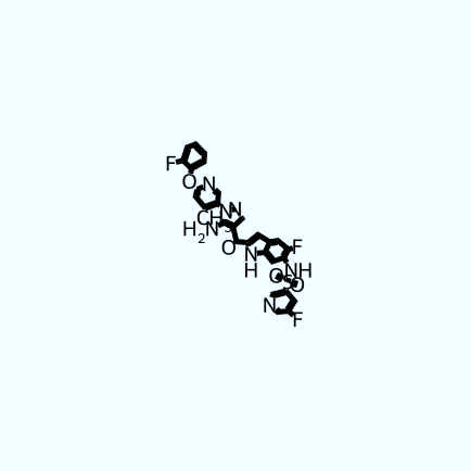 Cc1cc(Oc2ccccc2F)ncc1-n1ncc(C(=O)c2cc3cc(F)c(NS(=O)(=O)c4cncc(F)c4)cc3[nH]2)c1N